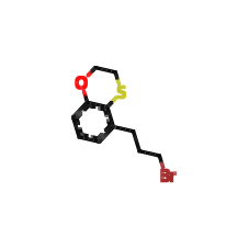 BrCCCc1cccc2c1SCCO2